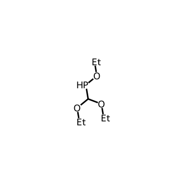 CCOPC(OCC)OCC